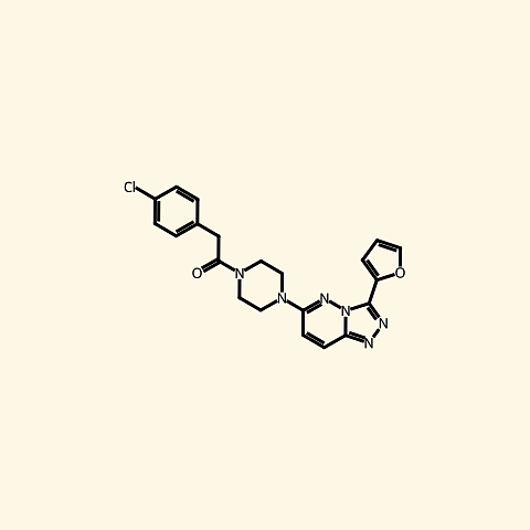 O=C(Cc1ccc(Cl)cc1)N1CCN(c2ccc3nnc(-c4ccco4)n3n2)CC1